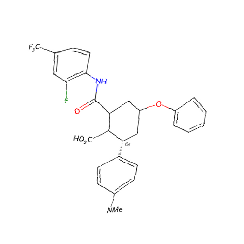 CNc1ccc([C@H]2CC(Oc3ccccc3)CC(C(=O)Nc3ccc(C(F)(F)F)cc3F)C2C(=O)O)cc1